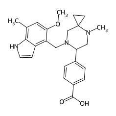 COc1cc(C)c2[nH]ccc2c1CN1CC2(CC2)N(C)CC1c1ccc(C(=O)O)cc1